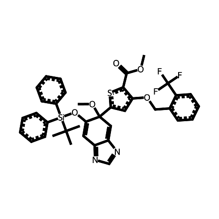 COC(=O)c1sc(C2(OC)C=C3N=CN=C3C=C2O[Si](c2ccccc2)(c2ccccc2)C(C)(C)C)cc1OCc1ccccc1C(F)(F)F